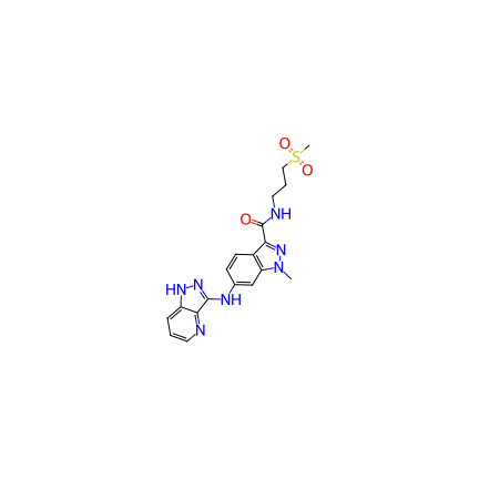 Cn1nc(C(=O)NCCCS(C)(=O)=O)c2ccc(Nc3n[nH]c4cccnc34)cc21